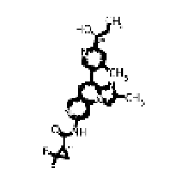 CC[C@@H](O)c1cc(C)c(-c2cc3cnc(NC(=O)[C@H]4CC4(F)F)cc3n3cc(C)nc23)cn1